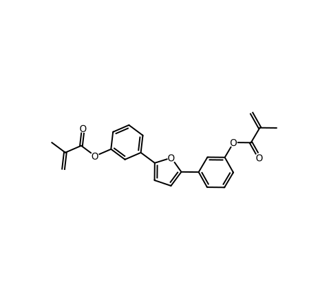 C=C(C)C(=O)Oc1cccc(-c2ccc(-c3cccc(OC(=O)C(=C)C)c3)o2)c1